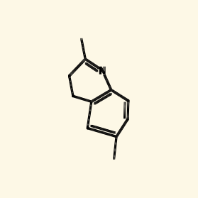 CC1=Nc2ccc(C)cc2CC1